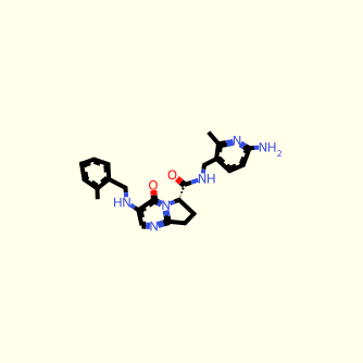 Cc1ccccc1CNc1cnc2n(c1=O)[C@H](C(=O)NCc1ccc(N)nc1C)CC2